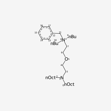 CCCCCCCCN(CCCCCCCC)CCOCC[N+](CCCC)(CCCC)Cc1ccccc1